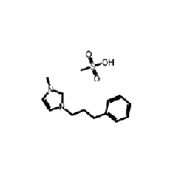 CN1C=CN(CCCc2ccccc2)C1.CS(=O)(=O)O